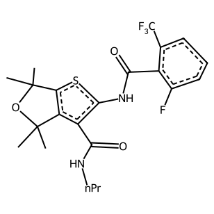 CCCNC(=O)c1c(NC(=O)c2c(F)cccc2C(F)(F)F)sc2c1C(C)(C)OC2(C)C